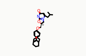 CC(C)Cc1cc(=O)nc2n1C[C@@H](COc1ccc(C3=C4CCCC3CCC4)cc1)O2